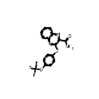 NC(=O)c1nc2ccccc2nc1Oc1ccc(OC(F)(F)F)cc1